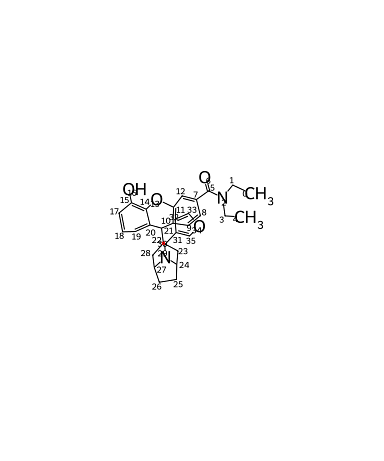 CCN(CC)C(=O)c1ccc2c(c1)Oc1c(O)cccc1C2C1CC2CCC(C1)N2Cc1ccoc1